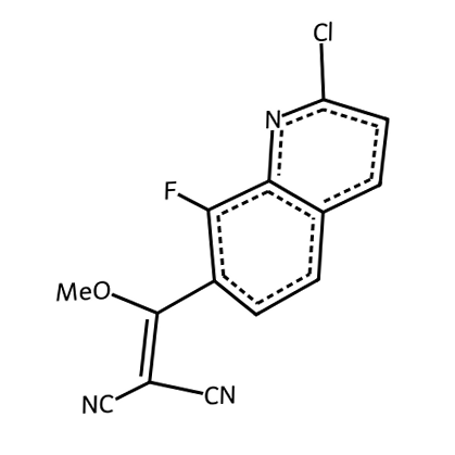 COC(=C(C#N)C#N)c1ccc2ccc(Cl)nc2c1F